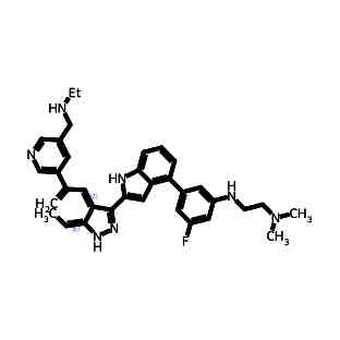 C=C(/C=c1/c(-c2cc3c(-c4cc(F)cc(NCCN(C)C)c4)cccc3[nH]2)n[nH]/c1=C/C)c1cncc(CNCC)c1